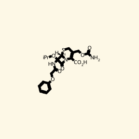 CC(C)OC1(NC(=O)COc2ccccc2)C(=O)N2C(C(=O)O)=C(COC(N)=O)CS[C@H]21